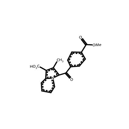 COC(=O)c1ccc(C(=O)c2c(C)c(C(=O)O)c3ccccn23)cc1